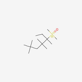 CCC(C)(C(C)(C)CC(C)(C)C)[SH](C)(C)=O